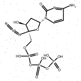 [N-]=[N+]=N[C@]1(COP(=O)(O)OP(=O)(O)OP(=O)(O)O)O[C@@H](n2ccc(N)nc2=O)C[C@@H]1O